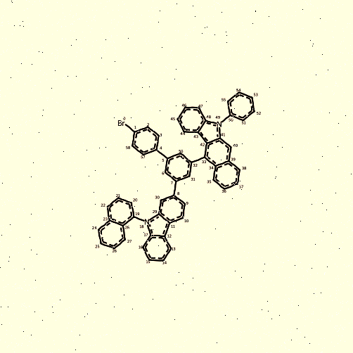 Brc1ccc(-c2cc(-c3ccc4c5ccccc5n(-c5cccc6ccccc56)c4c3)cc(-c3c4ccccc4cc4c3c3ccccc3n4-c3ccccc3)c2)cc1